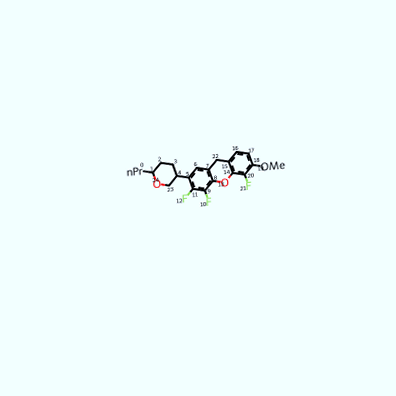 CCCC1CCC(c2cc3c(c(F)c2F)Oc2c(ccc(OC)c2F)C3)CO1